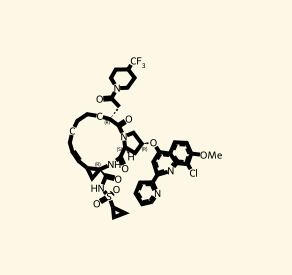 COc1ccc2c(O[C@@H]3C[C@H]4C(=O)N[C@]5(C(=O)NS(=O)(=O)C6CC6)CC5C=CCCCCC[C@H](CC(=O)N5CCC(C(F)(F)F)CC5)C(=O)N4C3)cc(-c3ccccn3)nc2c1Cl